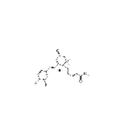 COC(=O)C=C(C)C=C[C@@]1(O)C(C=Cc2ccc(F)c(F)c2)=CC(=O)CC1(C)C